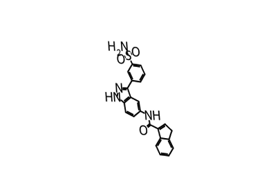 NS(=O)(=O)c1cccc(-c2n[nH]c3ccc(NC(=O)C4=CCc5ccccc54)cc23)c1